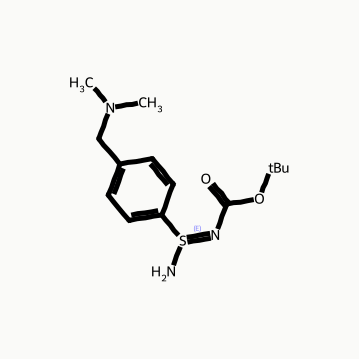 CN(C)Cc1ccc(/S(N)=N\C(=O)OC(C)(C)C)cc1